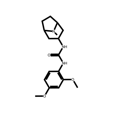 COc1ccc(NC(=O)NC2CC3CCC(C2)N3C)c(OC)c1